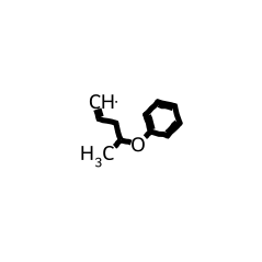 [CH]=CCC(C)Oc1ccccc1